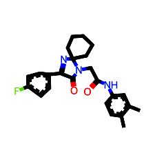 Cc1ccc(NC(=O)CN2C(=O)C(c3ccc(F)cc3)=NC23CCCCC3)cc1C